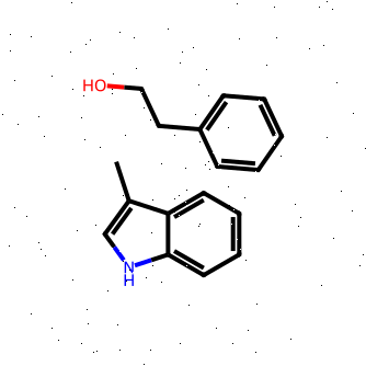 Cc1c[nH]c2ccccc12.OCCc1ccccc1